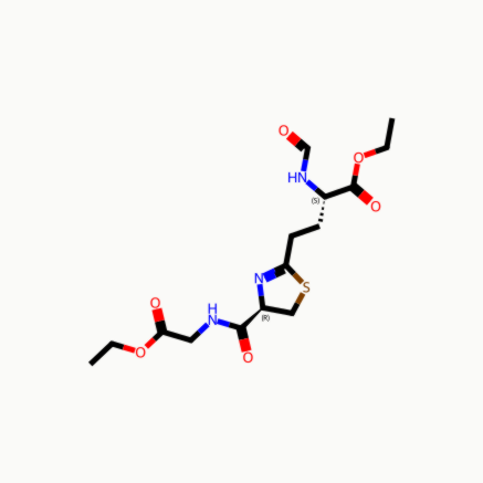 CCOC(=O)CNC(=O)[C@@H]1CSC(CC[C@H](NC=O)C(=O)OCC)=N1